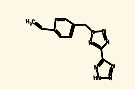 C=Cc1ccc(Cn2nnc(-c3nn[nH]n3)n2)cc1